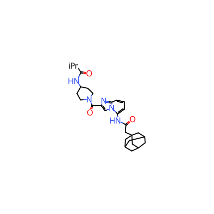 CC(C)C(=O)NC1CCN(C(=O)c2cn3c(NC(=O)CC45CC6CC(CC(C6)C4)C5)cccc3n2)CC1